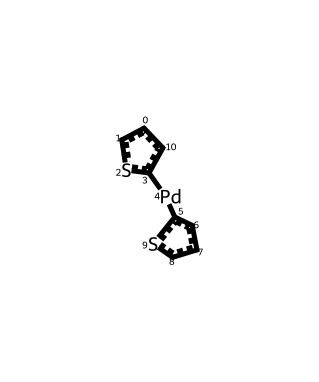 c1cs[c]([Pd][c]2cccs2)c1